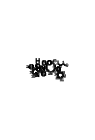 CCCC[C@H]1[C@H](C)OC(=O)C(NC(=O)c2nccc(OC)c2O)CCC[C@@H]1Oc1ccccc1